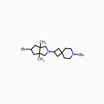 CC(C)(C)C1CC2(C)CN(C3CC4(CCN(C(C)(C)C)CC4)C3)CC2(C)C1